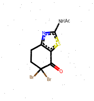 CC(=O)Nc1nc2c(s1)C(=O)C(Br)(Br)CC2